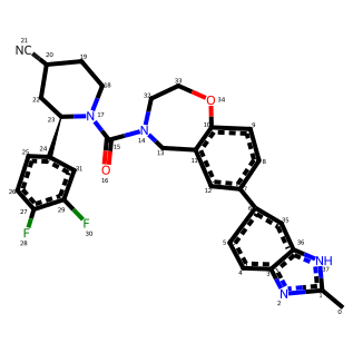 Cc1nc2ccc(-c3ccc4c(c3)CN(C(=O)N3CCC(C#N)C[C@@H]3c3ccc(F)c(F)c3)CCO4)cc2[nH]1